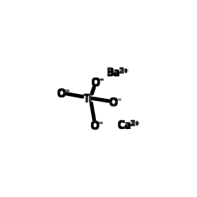 [Ba+2].[Ca+2].[O-][Ti]([O-])([O-])[O-]